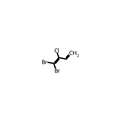 C=CC(Cl)=C(Br)Br